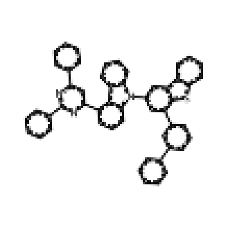 c1ccc(-c2cccc(-c3cc(-n4c5ccccc5c5c(-c6cc(-c7ccccc7)nc(-c7ccccc7)n6)cccc54)cc4c3sc3ccccc34)c2)cc1